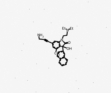 CCN(CC)CCN1C(=O)C(O)(c2ccc3ccccc3c2)c2c1cc(C#CCN)cc2C(F)(F)F